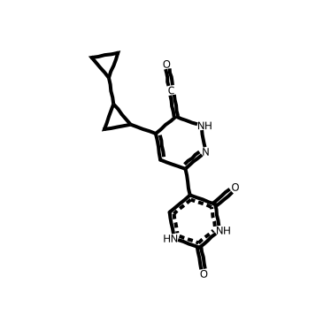 O=C=C1NN=C(c2c[nH]c(=O)[nH]c2=O)C=C1C1CC1C1CC1